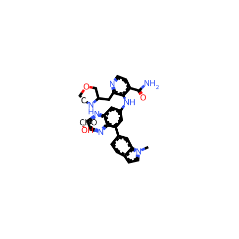 Cn1ccc2ccc(-c3cc(Nc4c(C(N)=O)ccnc4CC4COCCN4)cc4nccnc34)cc21.O=CO